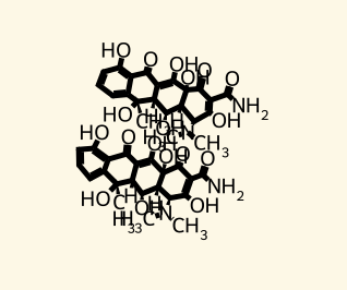 CN(C)[C@@H]1C(O)=C(C(N)=O)C(=O)[C@@]2(O)C(O)=C3C(=O)c4c(O)cccc4[C@@](C)(O)[C@H]3[C@H](O)[C@@H]12.CN(C)[C@@H]1C(O)=C(C(N)=O)C(=O)[C@@]2(O)C(O)=C3C(=O)c4c(O)cccc4[C@@](C)(O)[C@H]3[C@H](O)[C@@H]12